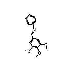 COc1cc(C=Nc2cccnc2)cc(OC)c1OC